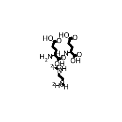 N[C@@H](CCC(=O)O)C(=O)O.N[C@@H](CCC(=O)O)C(=O)O.[2H]N([2H])CCN([2H])[2H]